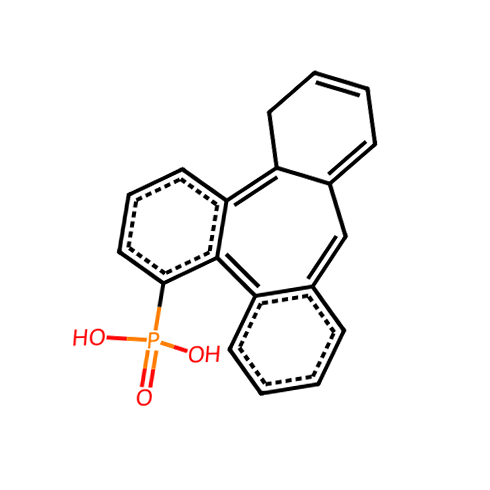 O=P(O)(O)c1cccc2c1=c1ccccc1=CC1=CC=CCC=21